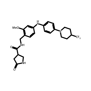 COc1cc(Nc2ccc(N3CCC(C(F)(F)F)CC3)cc2)ccc1CNC(=O)C1CNC(=O)C1